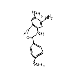 Nc1ccc(C(=O)Nc2cc(N)c(N)cc2O)cc1